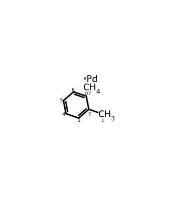 C.Cc1ccccc1.[Pd]